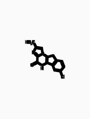 O=C(O)c1cn2c3c([nH]c(=O)c2n1)-c1cc(Cl)ccc1C3